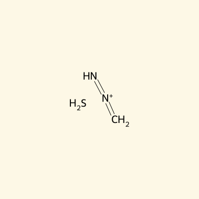 C=[N+]=N.S